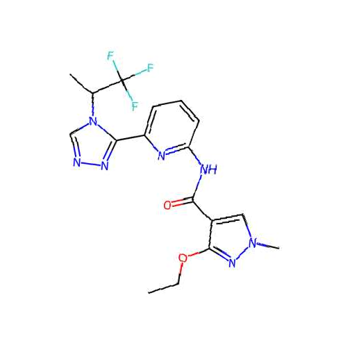 CCOc1nn(C)cc1C(=O)Nc1cccc(-c2nncn2C(C)C(F)(F)F)n1